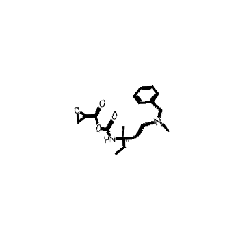 CC[C@@](C)(CCN(C)Cc1ccccc1)NC(=O)OC(=O)C1CO1